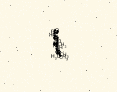 Cc1c(NCc2ccc(C(C)(C)C)cc2)ncnc1C(=O)N1CCC(NC2CCOCC2F)CC1